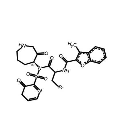 Cc1c(C(=O)NC(CC(C)C)C(=O)N([C@H]2CCCNCC2=O)S(=O)(=O)C2=NC=CCC2=O)oc2ccccc12